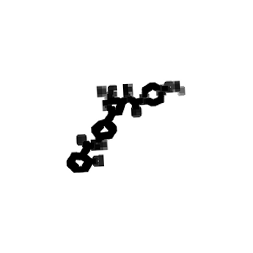 CN1CCN(C(=O)Nc2cc(-c3ccc(NC(=O)c4ccccc4Cl)cc3)nn2C)CC1